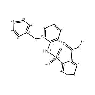 COC(=O)c1ccccc1S(=O)(=O)Nc1ccccc1Cc1ccccc1